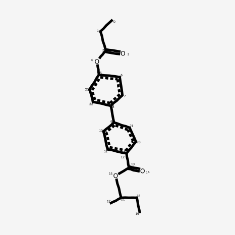 CCC(=O)Oc1ccc(-c2ccc(C(=O)OC(C)CC)cc2)cc1